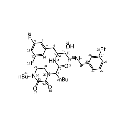 CCCCC(C(=O)N[C@@H](Cc1cc(F)cc(F)c1)[C@H](O)CNCc1cccc(CC)c1)N1CCN(CCCC)C(=O)C1=O